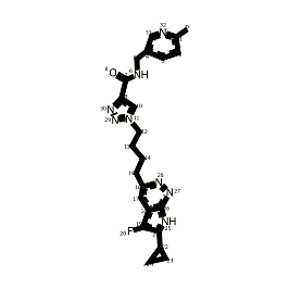 Cc1ccc(CNC(=O)c2cn(CCCCc3cc4c(F)c(C5CC5)[nH]c4nn3)nn2)cn1